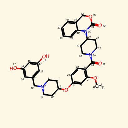 COc1cc(OC2CCN(Cc3cc(O)cc(O)c3)CC2)ccc1C(=O)N1CCC(N2C(=O)OCc3ccccc32)CC1